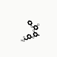 Cc1cc(Oc2cccc(CC(=O)O)c2)cc(Oc2ccc(Cl)cc2Oc2ccccc2)c1